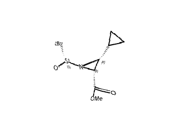 COC(=O)[C@H]1[C@@H](C2CC2)N1[S@+]([O-])C(C)(C)C